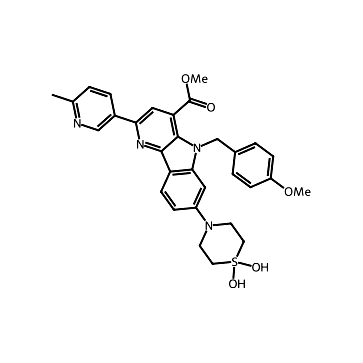 COC(=O)c1cc(-c2ccc(C)nc2)nc2c3ccc(N4CCS(O)(O)CC4)cc3n(Cc3ccc(OC)cc3)c12